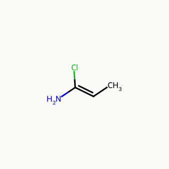 C/C=C(/N)Cl